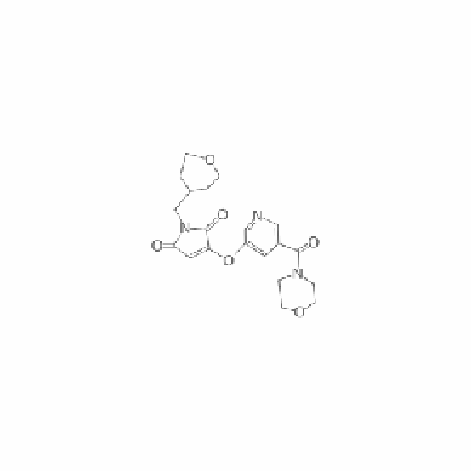 O=C(c1cncc(OC2=CC(=O)N(CC3CCOCC3)C2=O)c1)N1CCOCC1